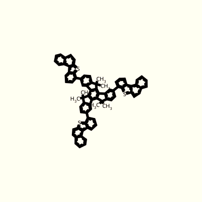 CC1(C)c2ccc(-c3cccc4c3sc3ccc5ccccc5c34)cc2-c2c1c1c(c3c2C(C)(C)c2ccc(-c4cccc5c4sc4ccc6ccccc6c45)cc2-3)C(C)(C)c2ccc(-c3cccc4c3sc3ccc5ccccc5c34)cc2-1